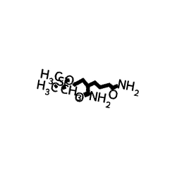 C[Si](C)(C)OCCC(CCCC(N)=O)C(N)=O